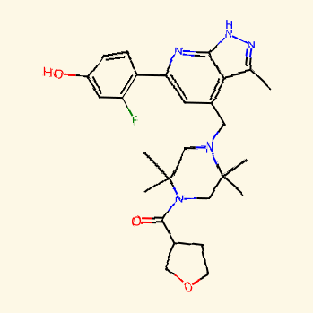 Cc1n[nH]c2nc(-c3ccc(O)cc3F)cc(CN3CC(C)(C)N(C(=O)C4CCOC4)CC3(C)C)c12